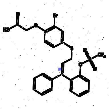 CS(=O)(=O)Oc1ccccc1/C(=C\CSc1ccc(OCC(=O)O)c(Br)c1)c1ccccc1